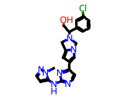 Cn1nccc1Nc1nccc(-c2cc3n(c2)CN(C(CO)c2cccc(Cl)c2)C3)n1